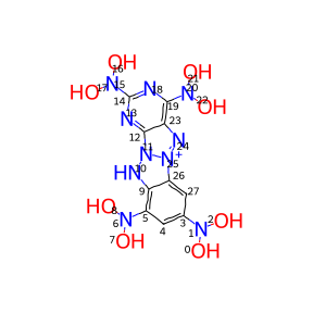 ON(O)c1cc(N(O)O)c2[nH]n3c4nc(N(O)O)nc(N(O)O)c4n[n+]3c2c1